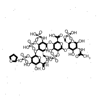 C1CCOC1.CC(=O)N[C@@H]1[C@@H](O)[C@H](O[C@@H]2O[C@H](C(=O)O)[C@@H](O[C@@H]3O[C@H](CO)[C@@H](O[C@H]4O[C@@H](C(=O)O)[C@H](O)[C@@H](O)[C@@H]4OS(=O)(=O)O)[C@H](OS(=O)(=O)O)[C@H]3NS(=O)(=O)O)[C@H](O)[C@H]2OS(=O)(=O)O)[C@H](COS(=O)(=O)O)O[C@H]1O